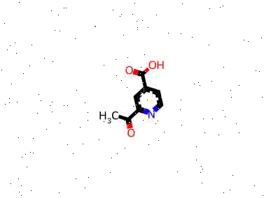 CC(=O)c1cc(C(=O)O)ccn1